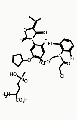 CC(C)=C1OC(=O)N(c2cc(OC3CCCC3)c(Cl)cc2F)C1=O.CCc1cccc(CC)c1N(COC)C(=O)CCl.CP(=O)(O)CCC(N)C(=O)O